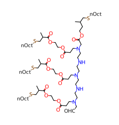 CCCCCCCCSCC(C)CCOC(=O)CN(CCNCCN(CCNCCN(CC=O)CCC(=O)OCCOC(=O)C(C)CSCCCCCCCC)CCC(=O)OCCOC(=O)C(C)CSCCCCCCCC)CCC(=O)OCCOC(=O)C(C)CSCCCCCCCC